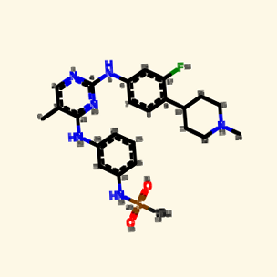 Cc1cnc(Nc2ccc(C3CCN(C)CC3)c(F)c2)nc1Nc1cccc(NS(=O)(=O)C(C)(C)C)c1